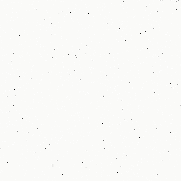 CCCCC#CCCCOC(=O)CCCCN(CCCCO)CCCCCCCC(O)OC(CCCCCCCC)CCCCCCCC